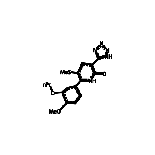 CCCOc1cc(-c2[nH]c(=O)c(-c3nnn[nH]3)cc2SC)ccc1OC